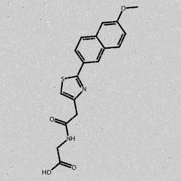 COc1ccc2cc(-c3nc(CC(=O)NCC(=O)O)cs3)ccc2c1